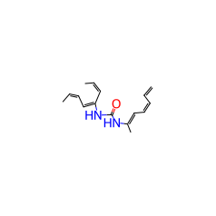 C=C/C=C\C=C(/C)NC(=O)NC(/C=C\C)=C/C=C\C